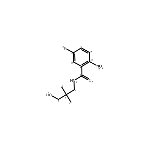 CC(C)(CO)CNC(=O)c1cc(F)ccc1[N+](=O)[O-]